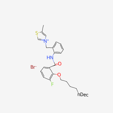 CCCCCCCCCCCCCCOc1c(F)cccc1C(=O)Nc1ccccc1C[n+]1csc(C)c1.[Br-]